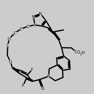 Cc1c2ccc3c1nnn3CCCOCCOc1cc(F)c(c(F)c1)C(=O)N1CCc3ccc(cc3C1)C2CC(=O)O